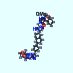 CCCN(Cc1ncc(-c2ccc3cc(-c4ccc(-c5cnc(CN(C)CC6(C)OCCO6)[nH]5)cc4)ccc3c2)[nH]1)C(=O)C(NC(=O)OC)c1ccccc1